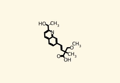 COCC(C)(/C=C/c1ccc2ccc([C@@H](C)O)nc2c1)C(=O)O